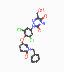 O=c1[nH]c(=O)n(-c2cc(Cl)c(Oc3ccc(=O)n(Cc4ccccc4)c3)c(Cl)c2)nc1CO